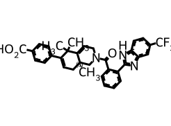 CC1(C)C(c2ccc(C(=O)O)cc2)=CC[C@]2(C)CN(C(=O)c3ccccc3-c3nc4cc(C(F)(F)F)ccc4[nH]3)CC=C12